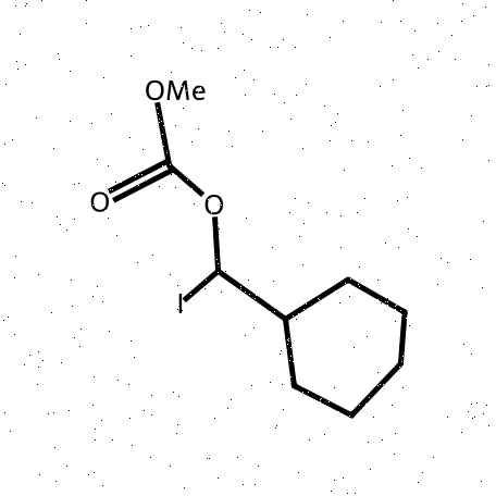 COC(=O)OC(I)C1CCCCC1